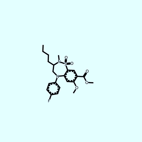 CCCCC1CN(c2ccc(F)cc2)c2cc(OC)c(C(=O)OC)cc2S(=O)(=O)N1C